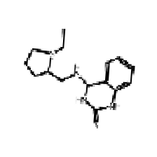 CCN1CCCC1CNC1NC(=S)Nc2ccccc21